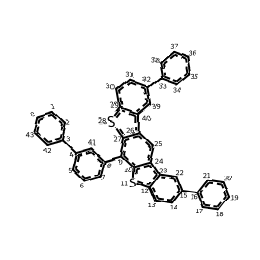 c1ccc(-c2cccc(-c3c4sc5ccc(-c6ccccc6)cc5c4cc4c3sc3ccc(-c5ccccc5)cc34)c2)cc1